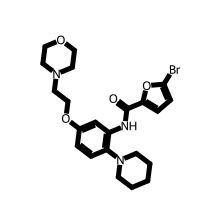 O=C(Nc1cc(OCCN2CCOCC2)ccc1N1CCCCC1)c1ccc(Br)o1